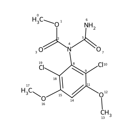 COC(=O)N(C(N)=O)c1c(Cl)c(OC)cc(OC)c1Cl